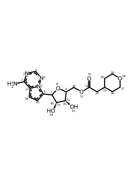 Nc1ncnn2c(C3OC(COC(=O)CC4CCOCC4)[C@@H](O)[C@H]3O)ccc12